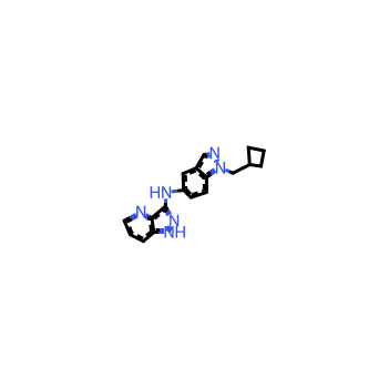 c1cnc2c(Nc3ccc4c(cnn4CC4CCC4)c3)n[nH]c2c1